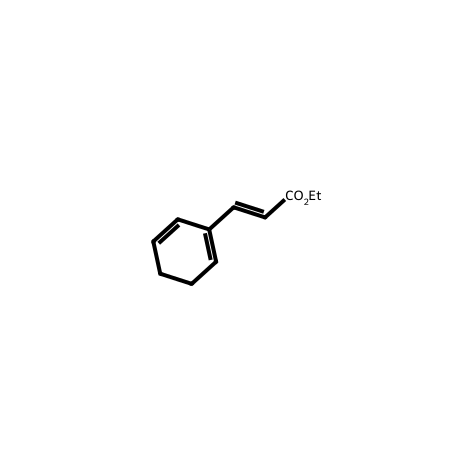 CCOC(=O)/C=C/C1=CCCC=C1